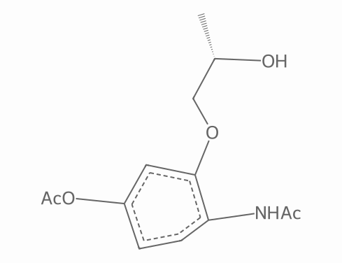 CC(=O)Nc1ccc(OC(C)=O)cc1OC[C@H](C)O